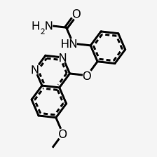 COc1ccc2ncnc(Oc3ccccc3NC(N)=O)c2c1